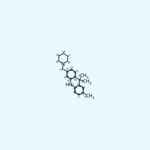 Cc1ccc2c(c1)C(C)(C)c1ccc(CN3CCCCC3)cc1N2